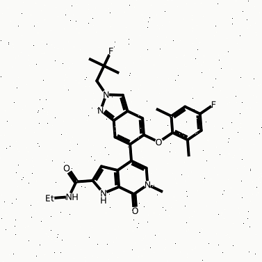 CCNC(=O)c1cc2c(-c3cc4nn(CC(C)(C)F)cc4cc3Oc3c(C)cc(F)cc3C)cn(C)c(=O)c2[nH]1